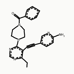 CCc1ncnc(N2CCN(C(=O)c3ccccc3)CC2)c1C#Cc1ccc(N)nc1